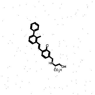 Cc1c(/C=C/c2ccc(CN[C@H](CO)C(=O)O)cc2Cl)cccc1-c1ccccc1